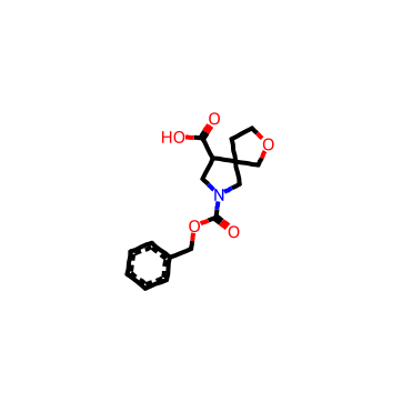 O=C(O)C1CN(C(=O)OCc2ccccc2)CC12CCOC2